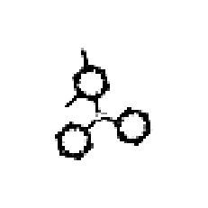 Cc1ccc([S+](c2ccccc2)c2ccccc2)c(C)c1